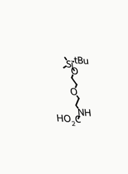 CC(C)(C)[Si](C)(C)OCCOCCNC(=O)O